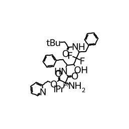 CC(C)[C@](N)(C(=O)NC(Cc1ccccc1)C(O)C(F)(F)C(Cc1ccccc1)NC(=O)CC(C)(C)C)C(=O)OCc1ccccn1